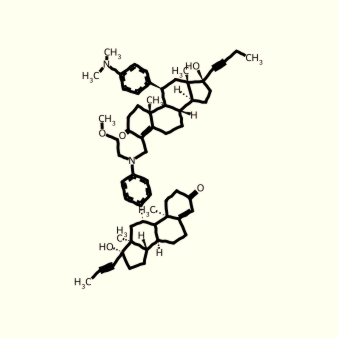 CC#C[C@]1(O)CC[C@H]2[C@@H]3CCC4=CC(=O)CC[C@]4(C)C3[C@@H](c3ccc(N(CCOC)CC4=C5CC[C@@H]6C([C@@H](c7ccc(N(C)C)cc7)C[C@@]7(C)[C@H]6CC[C@@]7(O)C#CCC)[C@@]5(C)CCC4=O)cc3)C[C@@]21C